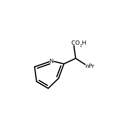 CCCC(C(=O)O)c1ccccn1